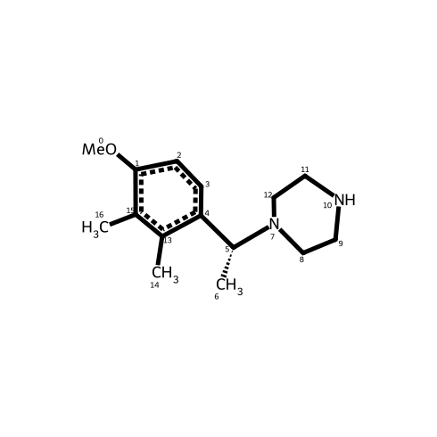 COc1ccc([C@@H](C)N2CCNCC2)c(C)c1C